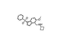 COc1ccc2c(ccn2S(=O)(=O)c2ccccc2)c1CNC1CCC1